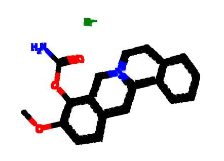 COc1ccc2cc3c4ccccc4cc[n+]3cc2c1OC(N)=O.[Br-]